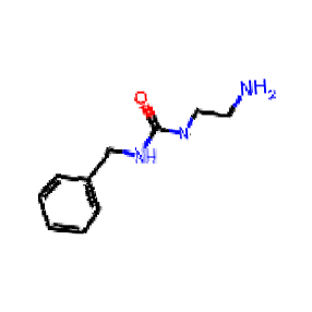 NCC[N]C(=O)NCc1ccccc1